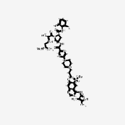 CN[C@@H](C)CN[C@H](C(=O)N1C[C@@H](NC(=O)c2cnc(N3CCN(CCCOc4cc5ncnc(Nc6n[nH]c(C)c6C)c5cc4S(=O)(=O)C(C)(C)C)CC3)cn2)C[C@H]1C(=O)Nc1c(F)cccc1F)C(C)(C)C